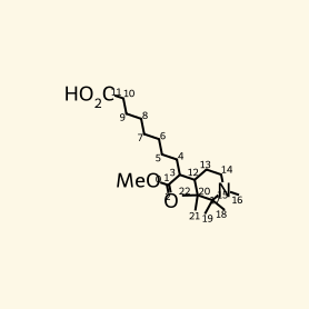 COC(=O)C(CCCCCCCC(=O)O)C1CCN(C)C(C)(C)C1(C)C